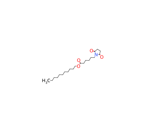 CCCCCCCCCCCOC(=O)CCCCCN1C(=O)CCC1=O